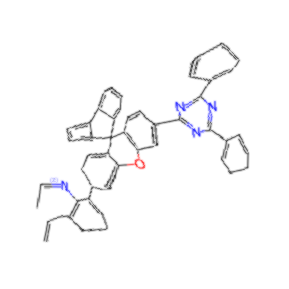 C=CC1=C(/N=C\C)C(C2C=C3Oc4cc(-c5nc(C6=CCCC=C6)nc(-c6ccccc6)n5)ccc4C4(C3=CC2)c2ccccc2-c2ccccc24)=CCC1